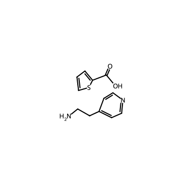 NCCc1ccncc1.O=C(O)c1cccs1